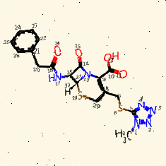 Cn1nnnc1SCC1=C(C(=O)O)N2C(=O)C(NC(=O)Cc3ccccc3)[C@H]2SC1